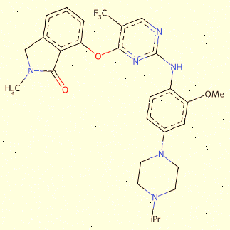 COc1cc(N2CCN(C(C)C)CC2)ccc1Nc1ncc(C(F)(F)F)c(Oc2cccc3c2C(=O)N(C)C3)n1